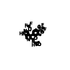 Cc1cc(-c2c(C(=O)NC3COC3)ncc3[nH]nc(OC(F)F)c23)ccc1S(=O)(=O)C(F)F